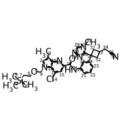 Cc1cn(COCC[Si](C)(C)C)c2c(Cl)cc(C(=O)Nc3cccc(C4(c5nncn5C)CC(CC#N)C4)c3)nc12